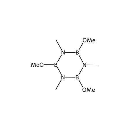 COB1N(C)B(OC)N(C)B(OC)N1C